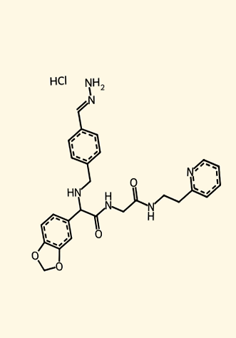 Cl.NN=Cc1ccc(CNC(C(=O)NCC(=O)NCCc2ccccn2)c2ccc3c(c2)OCO3)cc1